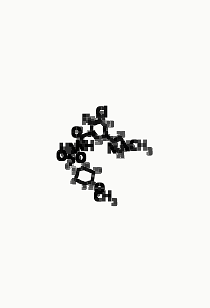 CO[C@H]1CC[C@H](CS(=O)(=O)NNC(=O)c2cc(-c3cn(C)cn3)cc(Cl)c2F)CC1